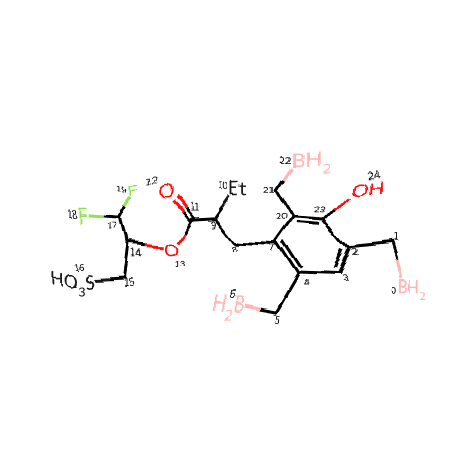 BCc1cc(CB)c(CC(CC)C(=O)OC(CS(=O)(=O)O)C(F)F)c(CB)c1O